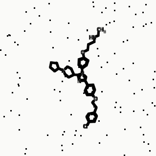 CCNCCCOc1ccc(-n2cc(-c3ccc(OCCc4ccc(Cl)cc4)cc3)nc2C2CCN(C3CCCC3)CC2)cc1